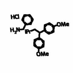 COc1ccc(C(CC(C)C)c2ccc(OC)cc2)cc1.Cl.NCc1ccccc1